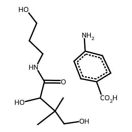 CC(C)(CO)C(O)C(=O)NCCCO.Nc1ccc(C(=O)O)cc1